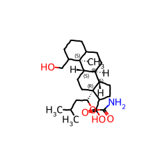 CC(C)CC(OC(N)=O)[C@]12CC[C@H]3[C@@H](CCC4CCCC(CO)[C@@]43C)[C@@H]1CCC2C(=O)O